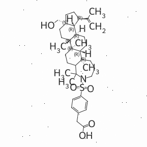 C=C(C)[C@@H]1CC[C@]2(CO)CC[C@]3(C)[C@H](CC[C@@H]4[C@@]5(C)CCCN(S(=O)(=O)c6ccc(CC(=O)O)cc6)C(C)(C)C5CC[C@]43C)[C@@H]12